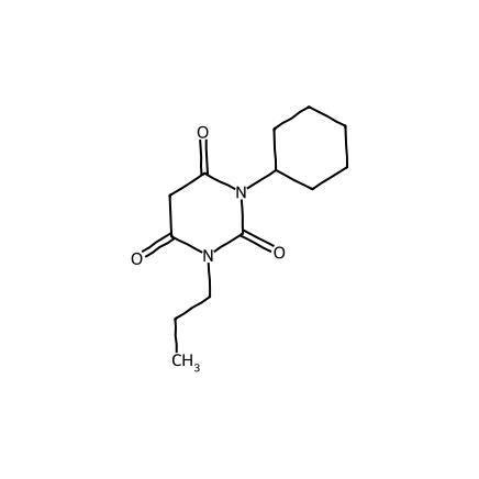 CCCN1C(=O)CC(=O)N(C2CCCCC2)C1=O